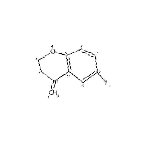 C=C1CCOc2ccc(I)cc21